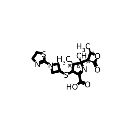 C[C@H]1OC(=O)[C@H]1[C@]1(C)N=C(C(=O)O)C(SC2CN(C3=NCCS3)C2)[C@@H]1C